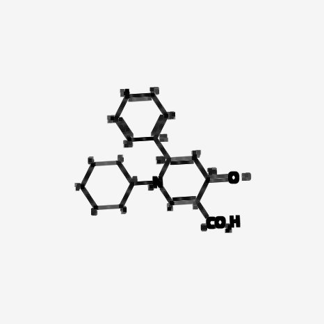 O=C(O)c1cn(C2CCCCC2)c(-c2ccccc2)cc1=O